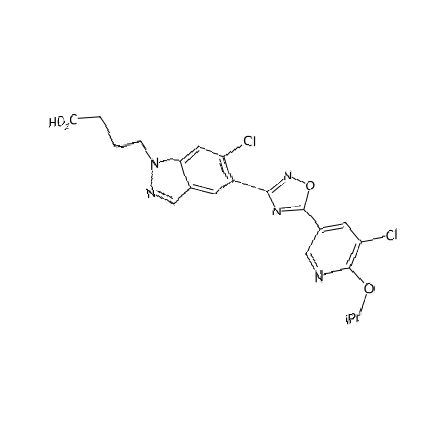 CC(C)Oc1ncc(-c2nc(-c3cc4cnn(CCCC(=O)O)c4cc3Cl)no2)cc1Cl